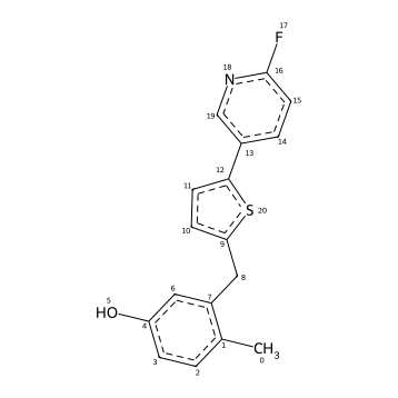 Cc1ccc(O)cc1Cc1ccc(-c2ccc(F)nc2)s1